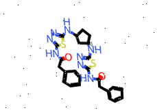 O=C(Cc1ccccc1)Nc1nnc(NC2CC[C@@H](Nc3nnc(NC(=O)Cc4ccccc4)s3)C2)s1